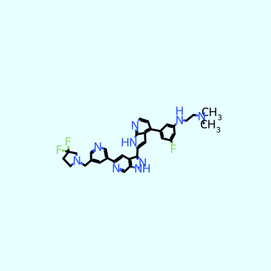 CN(C)CCNc1cc(F)cc(-c2ccnc3[nH]c(-c4n[nH]c5cnc(-c6cncc(CN7CCC(F)(F)C7)c6)cc45)cc23)c1